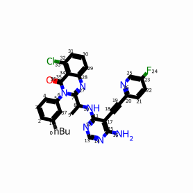 CCCCc1cccc(-n2c(C(C)Nc3ncnc(N)c3C#Cc3ccc(F)cn3)nc3cccc(Cl)c3c2=O)c1